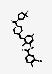 Cc1ncc(C(=O)Nc2cc(F)cc(C=C3CCN(C(=O)[C@@H]4CCC(F)(F)C4)CC3)c2C)cc1C#N